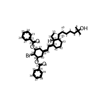 C[C@H](CCCC(C)(C)O)[C@H]1CC[C@H]2C(=CC=C3CC(OC(=O)c4ccccc4)C(Br)C(OC(=O)c4ccccc4)C3)CCC[C@]12C